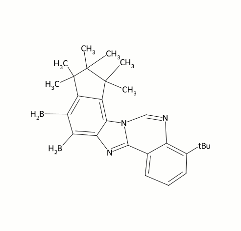 Bc1c2c(c3c(nc4c5cccc(C(C)(C)C)c5ncn43)c1B)C(C)(C)C(C)(C)C2(C)C